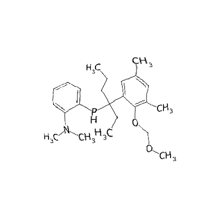 CCCC(CC)(Pc1ccccc1N(C)C)c1cc(C)cc(C)c1OCOC